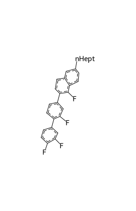 CCCCCCCc1ccc2c(F)c(-c3ccc(-c4ccc(F)c(F)c4)c(F)c3)ccc2c1